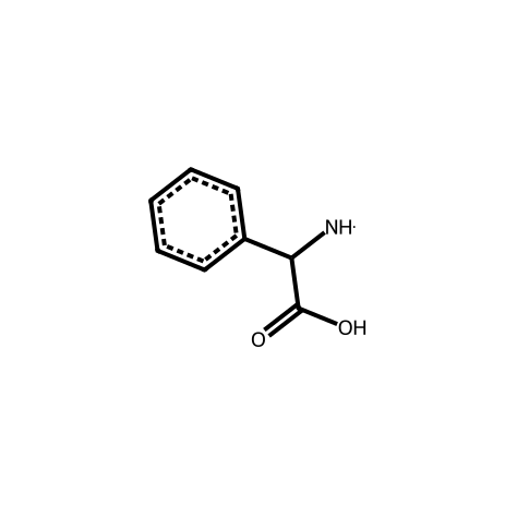 [NH]C(C(=O)O)c1ccccc1